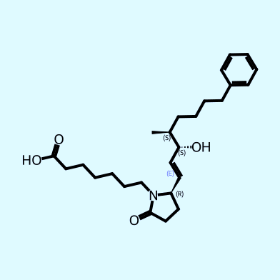 C[C@@H](CCCCc1ccccc1)[C@H](O)/C=C/[C@H]1CCC(=O)N1CCCCCCC(=O)O